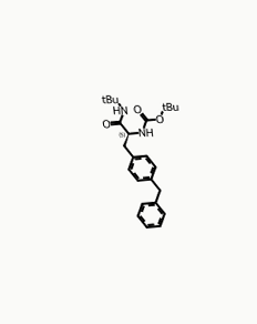 CC(C)(C)NC(=O)[C@H](Cc1ccc(Cc2ccccc2)cc1)NC(=O)OC(C)(C)C